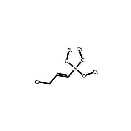 CCO[Si](/C=C/CCl)(OCC)OCC